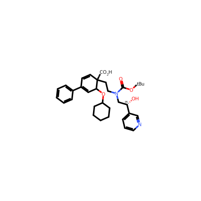 CC(C)(C)OC(=O)N(CCC1(C(=O)O)C=CC(c2ccccc2)=CC1OC1CCCCC1)C[C@H](O)c1cccnc1